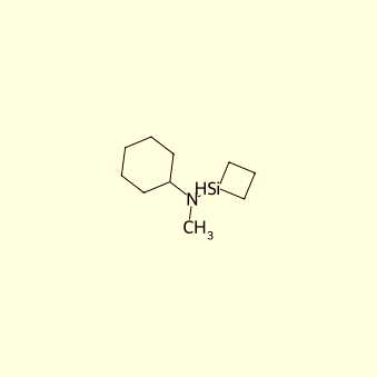 CN(C1CCCCC1)[SiH]1CCC1